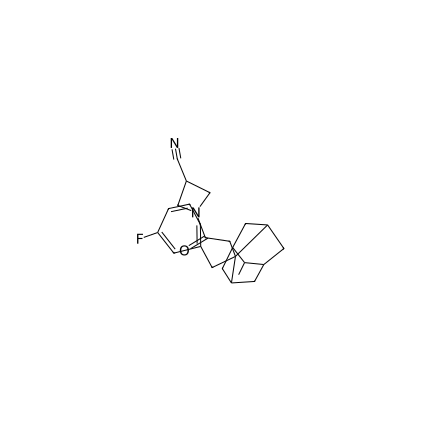 CC1C2CC3CC1CC(C2)C3(CC(=O)N1CC(C#N)C1)Cc1cccc(F)c1